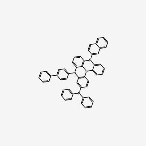 c1ccc(-c2ccc(N3c4cc(N(c5ccccc5)c5ccccc5)ccc4B4c5ccccc5N(c5ccc6ccccc6c5)c5cccc3c54)cc2)cc1